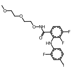 COCCOCCONC(=O)c1ccc(F)c(F)c1Nc1ccc(I)cc1F